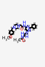 COc1ccc(CN2CCN(CC(=O)Nc3cc(NCCNC(C)=O)nc(-c4ccccc4)n3)CC2)cc1